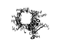 CCCCCCCCCC(=O)N[C@@H](Cc1c[nH]c2ccccc12)C(=O)N[C@@H](CC(N)=O)C(=O)N[C@@H](CC(=O)O)C(=O)N[C@@H]1C(=O)NCC(=O)N[C@@H](CCCN)C(=O)N[C@@H](CC(=O)O)C(=O)N[C@H](C)C(=O)N[C@@H](CC(=O)O)C(=O)NCC(=O)N[C@H](CO)C(=O)N[C@@H]([C@H](C)CC(=O)O)C(=O)N[C@@H](CC(=O)c2ccccc2N)C(=O)O[C@@H]1C.Cl